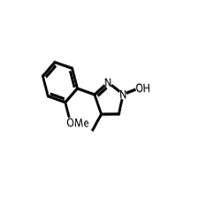 COc1ccccc1C1=NN(O)CC1C